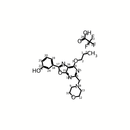 CCCOc1nc(CN2CCOCC2)nc2oc(-c3cccc(O)c3)nc12.O=C(O)C(F)(F)F